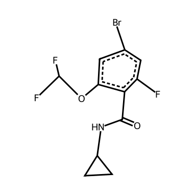 O=C(NC1CC1)c1c(F)cc(Br)cc1OC(F)F